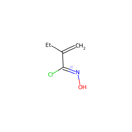 C=C(CC)/C(Cl)=N/O